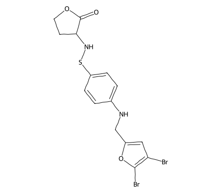 O=C1OCCC1NSc1ccc(NCc2cc(Br)c(Br)o2)cc1